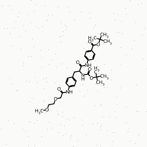 COCCOCC(=O)Nc1ccc(CC(NC(=O)OC(C)(C)C)C(=O)Nc2ccc(C(=O)OC(C)(C)C)cc2)cc1